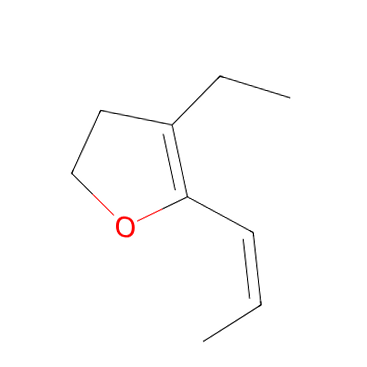 C/C=C\C1=C(CC)CCO1